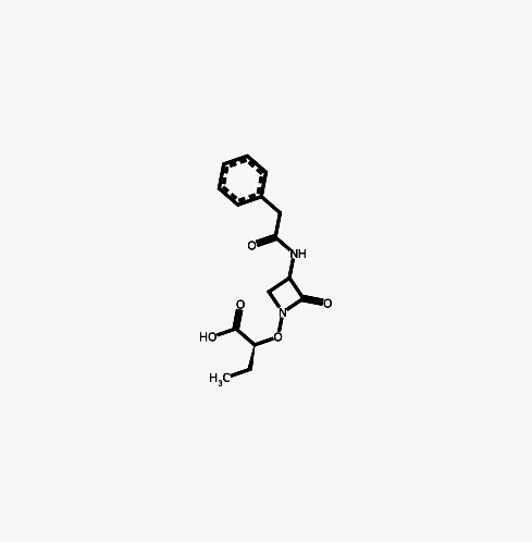 CC[C@H](ON1CC(NC(=O)Cc2ccccc2)C1=O)C(=O)O